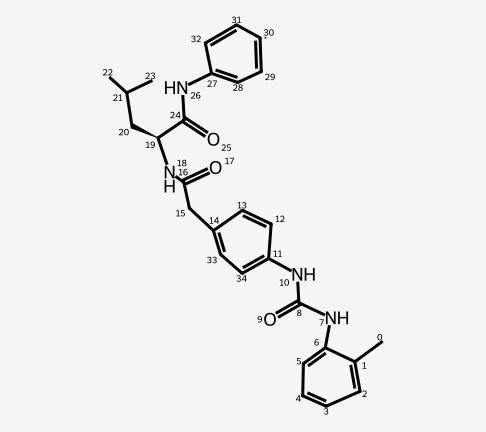 Cc1ccccc1NC(=O)Nc1ccc(CC(=O)N[C@@H](CC(C)C)C(=O)Nc2cc[c]cc2)cc1